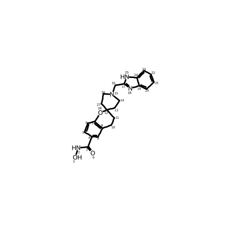 O=C(NO)c1ccc2c(c1)CCC1(CCN(Cc3nc4ccccc4[nH]3)CC1)O2